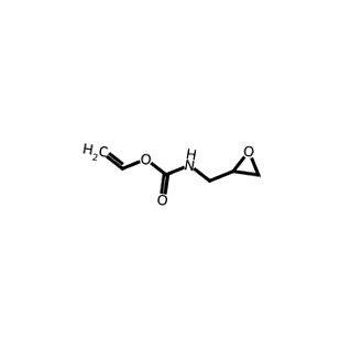 C=COC(=O)NCC1CO1